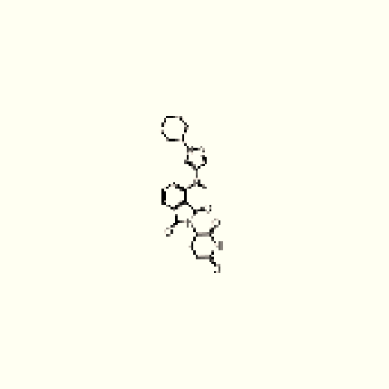 CN(c1cnn(C2CCCCC2)c1)c1cccc2c1C(=O)N(C1CCC(=O)NC1=O)C2=O